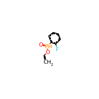 C=CO[PH](=O)c1ccccc1F